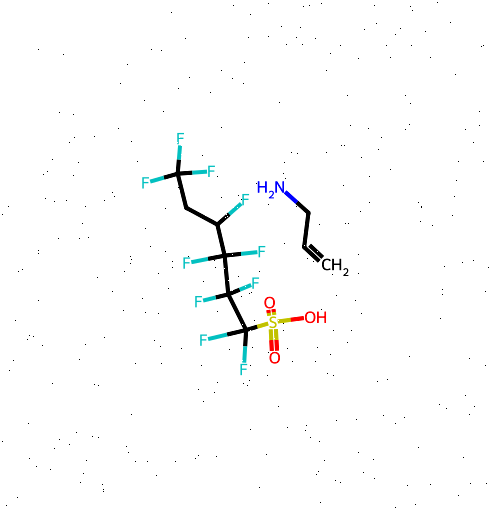 C=CCN.O=S(=O)(O)C(F)(F)C(F)(F)C(F)(F)C(F)CC(F)(F)F